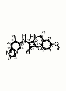 COc1cccc([C@@H](C)Nc2c(Nc3cn4ccnc4cc3C)c(=O)c2=O)c1